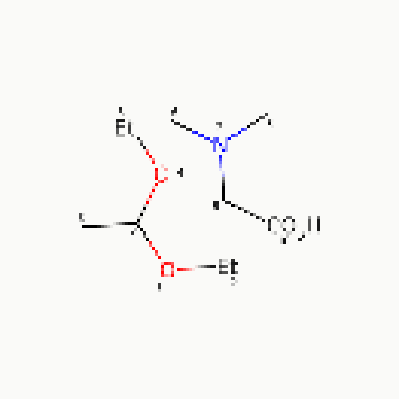 CCOC(C)OCC.CN(C)CC(=O)O